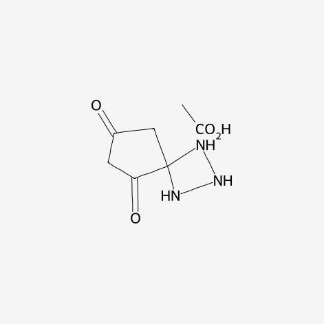 CC(=O)O.O=C1CC(=O)C2(C1)NNN2